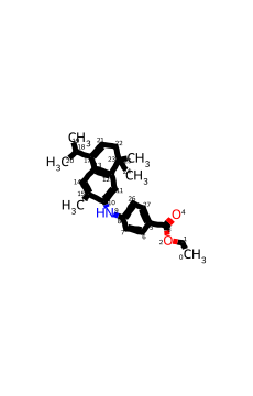 CCOC(=O)c1ccc(Nc2cc3c(cc2C)C(C(C)C)=CCC3(C)C)cc1